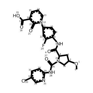 COC1CC(C(=O)Nc2ccc(-n3cccc(C(=O)O)c3=O)cc2F)N(C(=O)Nc2ccc(Cl)cn2)C1